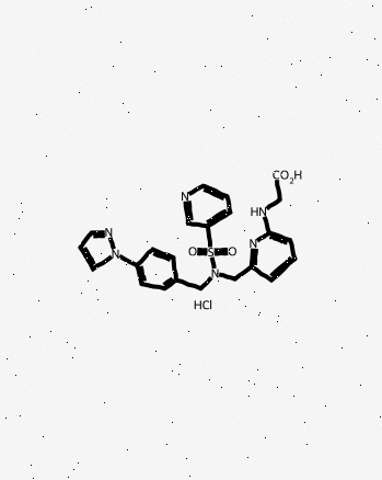 Cl.O=C(O)CNc1cccc(CN(Cc2ccc(-n3cccn3)cc2)S(=O)(=O)c2cccnc2)n1